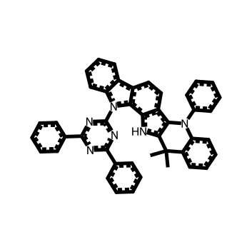 CC1(C)c2ccccc2N(c2ccccc2)c2c1[nH]c1c2ccc2c3ccccc3n(-c3nc(-c4ccccc4)nc(-c4ccccc4)n3)c21